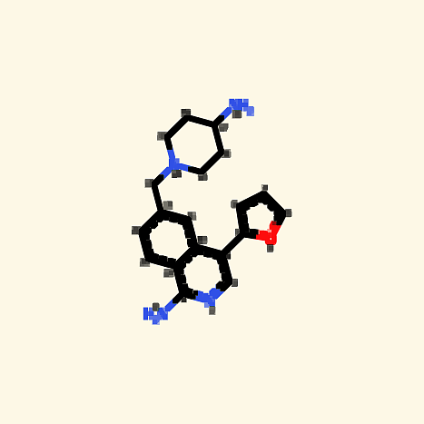 Nc1ncc(-c2ccco2)c2cc(CN3CCC(N)CC3)ccc12